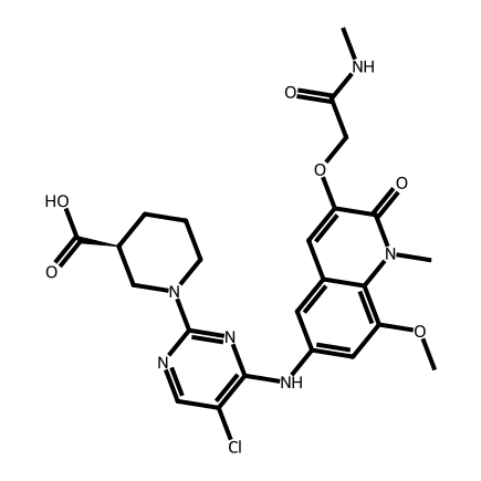 CNC(=O)COc1cc2cc(Nc3nc(N4CCC[C@H](C(=O)O)C4)ncc3Cl)cc(OC)c2n(C)c1=O